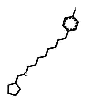 Ic1ccc(CCCCCCCCOCC2CCCC2)cc1